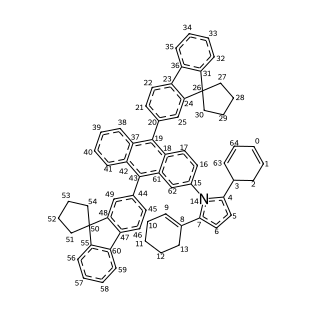 C1=CCC(c2ccc(C3=CCCCC3)n2-c2ccc3c(-c4ccc5c(c4)C4(CCCC4)c4ccccc4-5)c4ccccc4c(-c4ccc5c(c4)C4(CCCC4)c4ccccc4-5)c3c2)C=C1